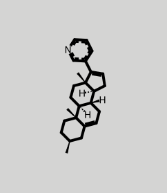 C[C@H]1CC[C@@]2(C)C(=CC[C@@H]3[C@@H]2CC[C@]2(C)C(c4cccnc4)=CC[C@@H]32)C1